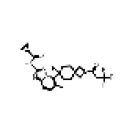 Cc1ccc2nc(NC(=O)C3CC3)nn2c1C1(F)CCC2(CC1)CN(C(=O)CC(F)(F)F)C2